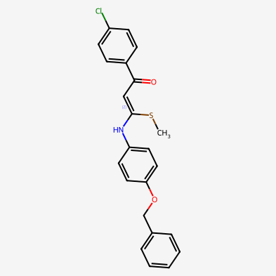 CS/C(=C\C(=O)c1ccc(Cl)cc1)Nc1ccc(OCc2ccccc2)cc1